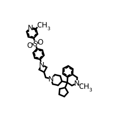 Cc1cc(S(=O)(=O)c2ccc(N3CC(CN4CCC(C5(C6CCCC6)CN(C)Cc6ccccc65)CC4)C3)cc2)ccn1